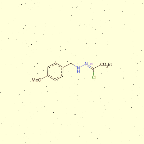 CCOC(=O)/C(Cl)=N/NCc1ccc(OC)cc1